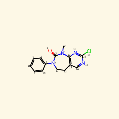 CN1C(=O)N(c2ccccc2)CCc2cnc(Cl)nc21